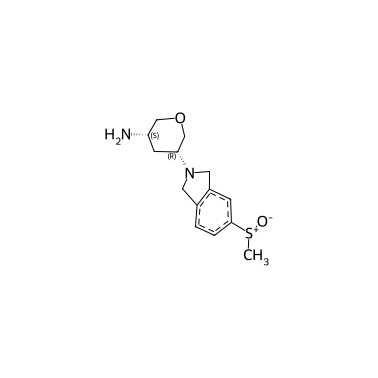 C[S+]([O-])c1ccc2c(c1)CN([C@H]1COC[C@@H](N)C1)C2